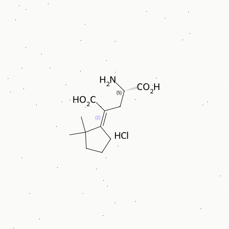 CC1(C)CCC/C1=C(\C[C@H](N)C(=O)O)C(=O)O.Cl